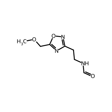 COCc1nc(CCNC=O)no1